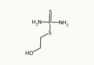 NP(N)(=S)SCCO